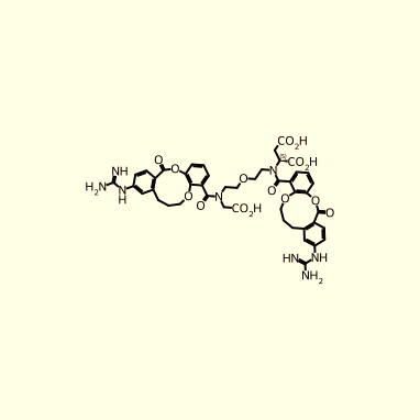 N=C(N)Nc1ccc2c(c1)CCCOc1c(cccc1C(=O)N(CCOCCN(C(=O)c1cccc3c1OCCCc1cc(NC(=N)N)ccc1C(=O)O3)[C@@H](CC(=O)O)C(=O)O)CC(=O)O)OC2=O